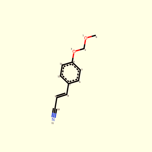 COCOc1ccc(C=CC#N)cc1